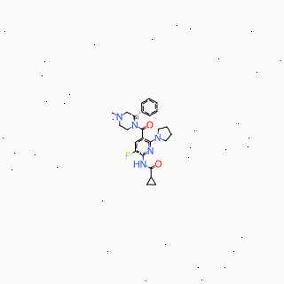 CN1CCN(C(=O)c2cc(F)c(NC(=O)C3CC3)nc2N2CCCC2)[C@@H](c2ccccc2)C1